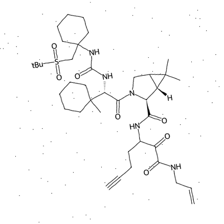 C#CCCC(NC(=O)[C@@H]1[C@@H]2C(CN1C(=O)[C@@H](NC(=O)NC1(CS(=O)(=O)C(C)(C)C)CCCCC1)C1(C)CCCCC1)C2(C)C)C(=O)C(=O)NCC=C